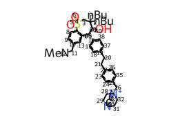 CCCCC1(CCCC)CS(=O)(=O)c2ccc(CNC)cc2[C@@H](c2ccc(CCc3ccc(C[N+]45CCN(CC4)CC5)cc3)cc2)[C@H]1O